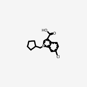 O=C(O)c1cn(CC2CCCC2)c2cc(Cl)ccc12